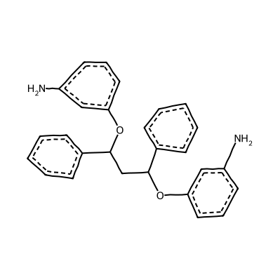 Nc1cccc(OC(CC(Oc2cccc(N)c2)c2ccccc2)c2ccccc2)c1